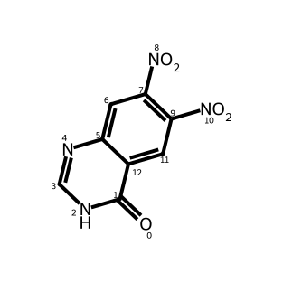 O=c1[nH]cnc2cc([N+](=O)[O-])c([N+](=O)[O-])cc12